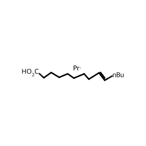 CCCCC=CCCCCCCCC(=O)O.[Pr]